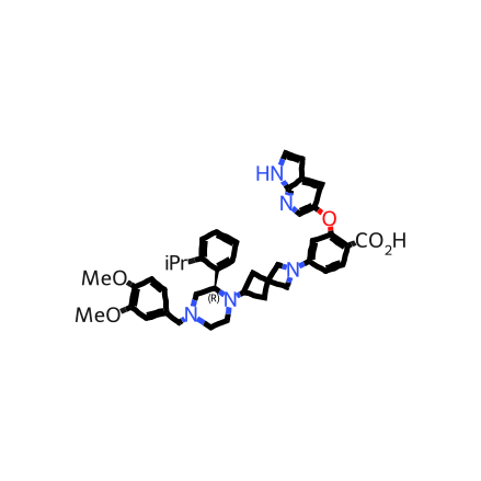 COc1ccc(CN2CCN(C3CC4(C3)CN(c3ccc(C(=O)O)c(Oc5cnc6[nH]ccc6c5)c3)C4)[C@H](c3ccccc3C(C)C)C2)cc1OC